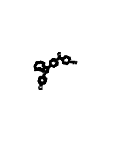 CC(C)N1CCN(C(=O)N2CCC(c3cn(-c4ccc(Cl)cc4)c4/c3=C\C=C/CC/C=4)CC2)CC1